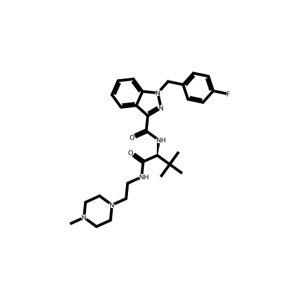 CN1CCN(CCNC(=O)[C@@H](NC(=O)c2nn(Cc3ccc(F)cc3)c3ccccc23)C(C)(C)C)CC1